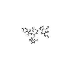 Cc1ccc(S(=O)(=O)OC[C@@H](COP(=O)(O)O)OC(CO)n2cnc3c(=O)[nH]c(N)nc32)cc1